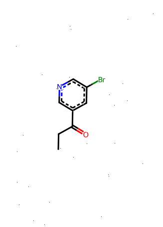 CCC(=O)c1cncc(Br)c1